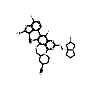 C[C@H]1CN2CCC[C@@]2(COc2nc3c4c(c(Cl)c(-c5ccc(F)c6sc(N)c(C#N)c56)c(F)c4n2)OCC2CC(C#N)CCN32)C1